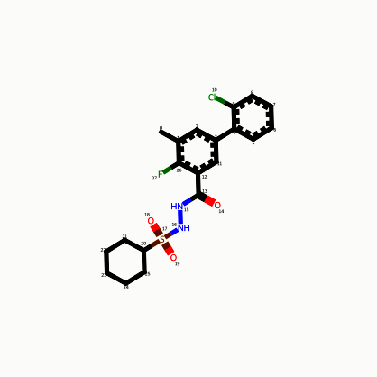 Cc1cc(-c2ccccc2Cl)cc(C(=O)NNS(=O)(=O)C2CCCCC2)c1F